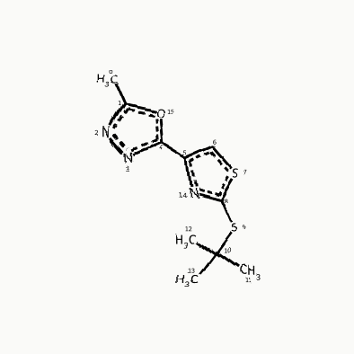 Cc1nnc(-c2csc(SC(C)(C)C)n2)o1